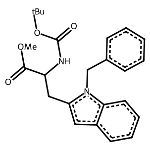 COC(=O)C(Cc1cc2ccccc2n1Cc1ccccc1)NC(=O)OC(C)(C)C